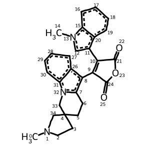 CN1CCC2(CCc3c(C4=C(c5cn(C)c6ccccc56)C(=O)OC4=O)c4ccccc4n3C2)C1